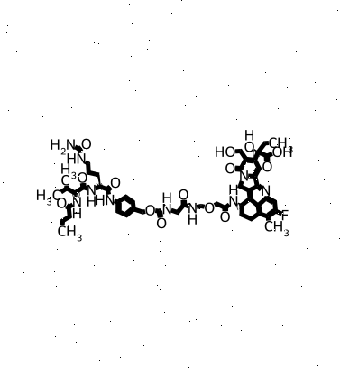 CCCC(=O)N[C@H](C(=O)N[C@@H](CCCNC(N)=O)C(=O)Nc1ccc(COC(=O)NCC(=O)NCOCC(=O)N[C@H]2CCc3c(C)c(F)cc4nc5c(c2c34)Cn2c-5cc([C@@](O)(CC)C(=O)O)c(CO)c2=O)cc1)C(C)C